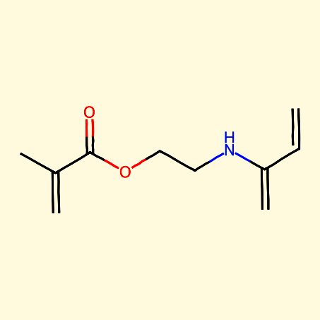 C=CC(=C)NCCOC(=O)C(=C)C